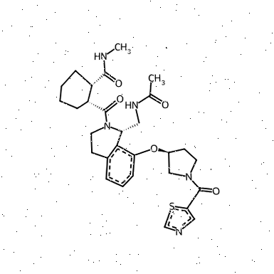 CNC(=O)[C@H]1CCCC[C@H]1C(=O)N1CCc2cccc(O[C@H]3CCN(C(=O)c4cncs4)C3)c2[C@H]1CNC(C)=O